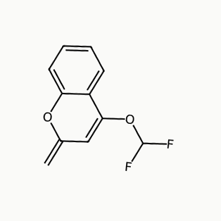 C=C1C=C(OC(F)F)c2ccccc2O1